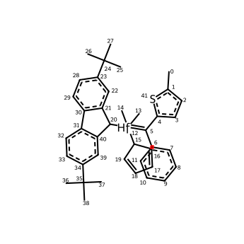 Cc1ccc([C](c2ccccc2)=[Hf]([CH3])([CH3])([CH]2C=CC=C2)[CH]2c3cc(C(C)(C)C)ccc3-c3ccc(C(C)(C)C)cc32)s1